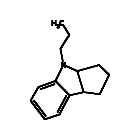 CCCN1c2ccccc2C2CCCC21